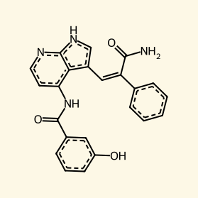 NC(=O)/C(=C\c1c[nH]c2nccc(NC(=O)c3cccc(O)c3)c12)c1ccccc1